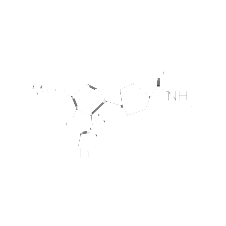 COc1ccc(C2(C#N)CCC(C(N)=O)CC2)c2nc(C(C)C)oc12